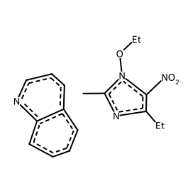 CCOn1c(C)nc(CC)c1[N+](=O)[O-].c1ccc2ncccc2c1